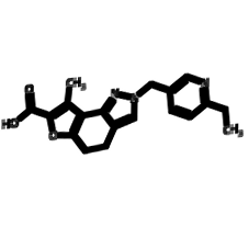 CCc1ccc(Cn2cc3c(n2)-c2c(oc(C(=O)O)c2C)CC3)cn1